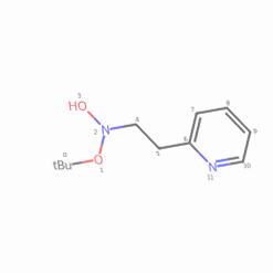 CC(C)(C)ON(O)CCc1ccccn1